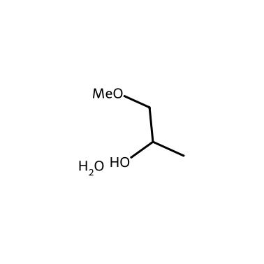 COCC(C)O.O